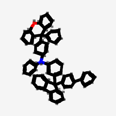 c1ccc(-c2ccc(C3(c4cccc(N(c5ccccc5)c5ccc(C6(c7ccccc7)c7ccccc7Oc7ccccc76)cc5)c4)c4ccccc4-c4ccccc43)cc2)cc1